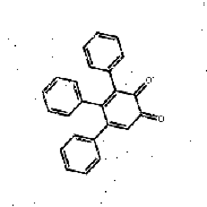 O=C1C=C(c2ccccc2)C(c2ccccc2)=C(c2ccccc2)C1=O